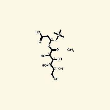 C[N+](C)(C)C[C@@H](CC(=O)O)OC(=O)[C@H](O)[C@@H](O)[C@H](O)[C@H](O)CO.[CaH2]